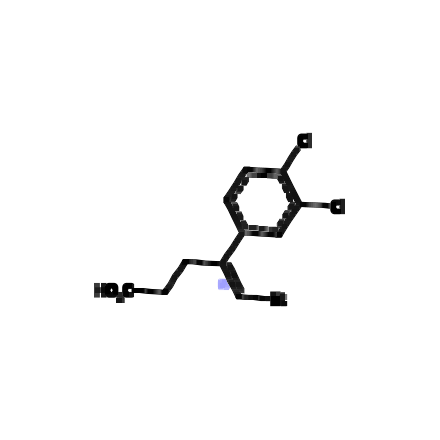 CC/C=C(/CCC(=O)O)c1ccc(Cl)c(Cl)c1